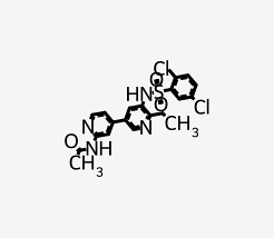 CCc1ncc(-c2ccnc(NC(C)=O)c2)cc1NS(=O)(=O)c1cc(Cl)ccc1Cl